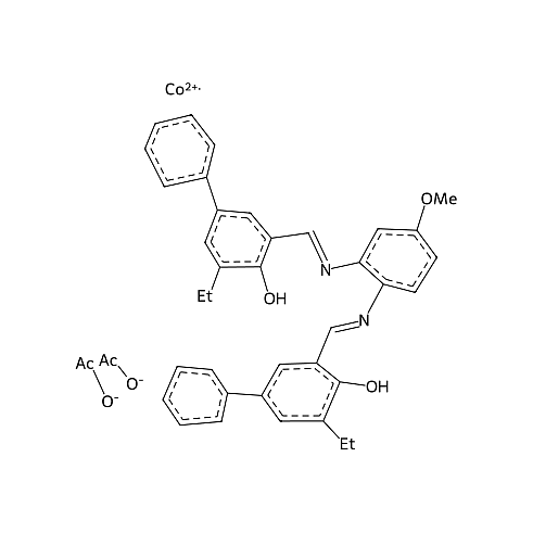 CC(=O)[O-].CC(=O)[O-].CCc1cc(-c2ccccc2)cc(C=Nc2ccc(OC)cc2N=Cc2cc(-c3ccccc3)cc(CC)c2O)c1O.[Co+2]